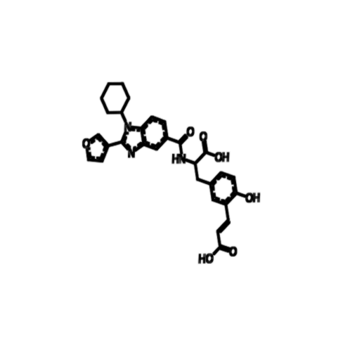 O=C(O)C=Cc1cc(CC(NC(=O)c2ccc3c(c2)nc(-c2ccoc2)n3C2CCCCC2)C(=O)O)ccc1O